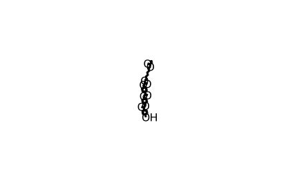 C=CC(=O)OCCCCCCOC(=O)Oc1ccc(C(=O)Oc2ccc(OC(=O)c3ccc(O)cc3)cc2)cc1